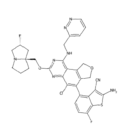 N#Cc1c(N)sc2c(F)ccc(-c3c4c(c5c(NCc6cccnn6)nc(OC[C@@]67CCCN6C[C@H](F)C7)nc5c3Cl)COC4)c12